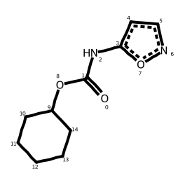 O=C(Nc1ccno1)OC1CCCCC1